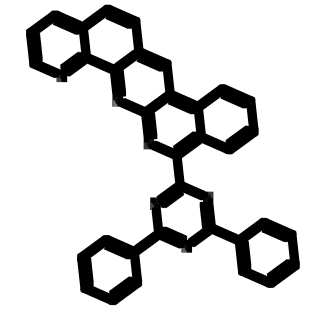 c1ccc(-c2nc(-c3ccccc3)nc(-c3nc4nc5c(ccc6cccnc65)cc4c4ccccc34)n2)cc1